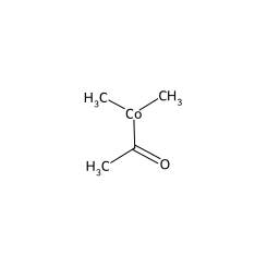 C[C](=O)[Co]([CH3])[CH3]